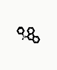 CN(c1cc#ccc1)c1cc2ccccc2c2ccccc12